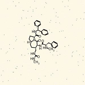 CNC(=O)NC[C@H]1CC[C@H]2CC[C@@H](C(=O)NC(c3ccccc3)c3ccccc3)N2C(=O)[C@H]1NC(=O)[C@@H](Cc1ccccc1)NC